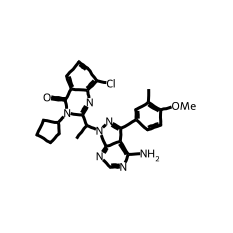 COc1ccc(-c2nn(C(C)c3nc4c(Cl)cccc4c(=O)n3C3CCCC3)c3ncnc(N)c23)cc1C